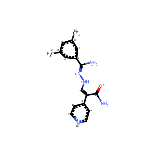 NC(=O)/C(=C\N/N=C(\N)c1cc(C(F)(F)F)cc(C(F)(F)F)c1)c1ccncc1